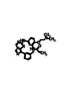 C=CC(=O)Nc1cc(Nc2ncn3cnc(-c4cccc(F)c4)c3n2)ccc1OCCN(C)C